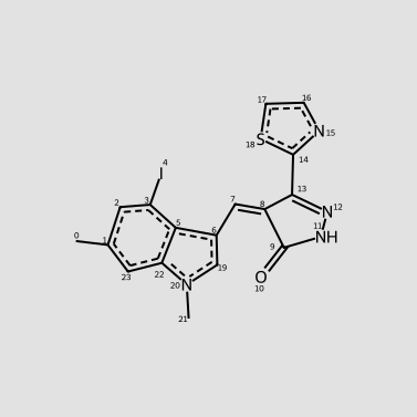 Cc1cc(I)c2c(C=C3C(=O)NN=C3c3nccs3)cn(C)c2c1